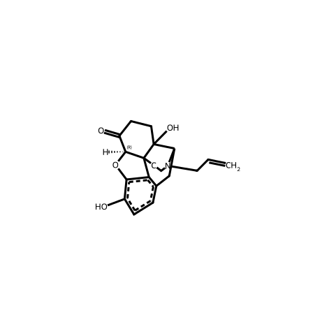 C=CCN1CCC23c4c5ccc(O)c4O[C@H]2C(=O)CCC3(O)C1C5